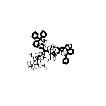 CC(C)(C)OC(=O)C(C)(C)ON=C(C(=O)NC1C(=O)N2CC(C=CCCl)(C(=O)OC(c3ccccc3)c3ccccc3)C[S+]([O-])[C@H]12)c1csc(NC(c2ccccc2)(c2ccccc2)c2ccccc2)n1